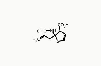 C=CCC1(NC=O)SC=CC1C(=O)O